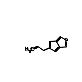 C=CCC1=CC2=CP=CC2=C1